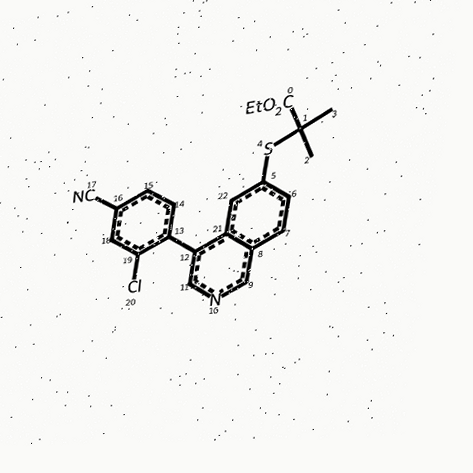 CCOC(=O)C(C)(C)Sc1ccc2cncc(-c3ccc(C#N)cc3Cl)c2c1